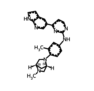 Cc1cc(Nc2nccc(-c3cnc4[nH]ccc4c3)n2)ccc1N1C[C@@H]2C[C@H]1CN2C